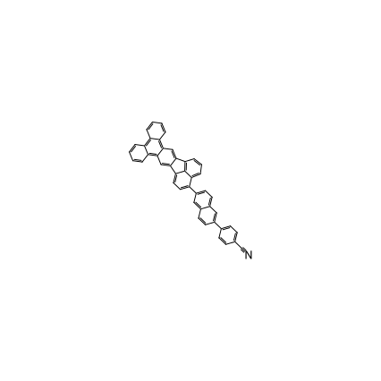 N#Cc1ccc(-c2ccc3cc(-c4ccc5c6c(cccc46)-c4cc6c7ccccc7c7ccccc7c6cc4-5)ccc3c2)cc1